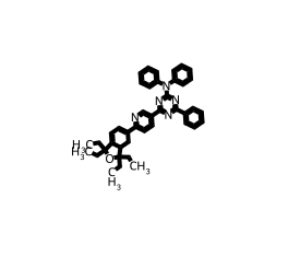 CCC1(CC)OC(CC)(CC)C2CC(c3ccc(-c4nc(-c5ccccc5)nc(N(c5ccccc5)c5ccccc5)n4)cn3)=CC=C21